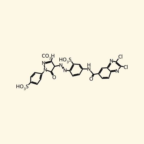 O=C(O)C1=NN(c2ccc(S(=O)(=O)O)cc2)C(=O)C1N=Nc1ccc(NC(=O)c2ccc3nc(Cl)c(Cl)nc3c2)cc1S(=O)(=O)O